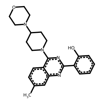 Cc1ccc2c(N3CCC(N4CCOCC4)CC3)nc(-c3ccccc3O)nc2c1